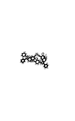 C[C@H]1C(=O)C(C#N)=C[C@@]2(C)c3c(c(-c4ccccc4)nn3C3CCC(C[C@H]4C(=O)C(C#N)=C[C@@]5(C)c6nn(C7CCCCC7)c(-c7ccccc7)c6CC[C@H]45)CC3)CC[C@H]12